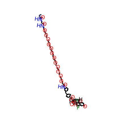 C/C=C\C(=O)NCCC(=O)NCCOCCOCCOCCOCCOCCOCCOCCOCCOCCOCCOCCOCCC(=O)Nc1cccc(Cc2ccc([C@@H]3O[C@@H]4CC5[C@@H]6C[C@H](F)C7=CC(=O)C=C[C@@]78O[C@@H](C[C@]5(C)[C@]4(C(=O)CO)O3)[C@@]68F)cc2)c1